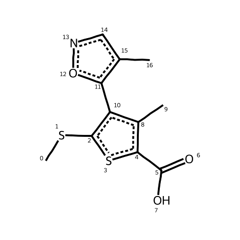 CSc1sc(C(=O)O)c(C)c1-c1oncc1C